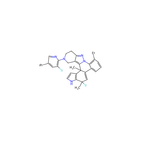 CCc1cccc2c1-n1nc3c(c1C1(C)C2=CC(C)(F)c2[nH]ccc21)CN(c1ncc(C(C)C)cc1F)CC3